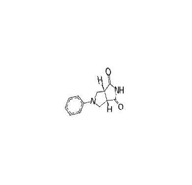 O=C1NC(=O)[C@@H]2CN(c3ccccc3)C[C@H]12